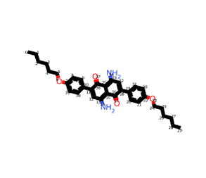 CCCCCCOc1ccc(C2=CC(N)=C3C(=O)C(c4ccc(OCCCCCC)cc4)=CC(N)=C3C2=O)cc1